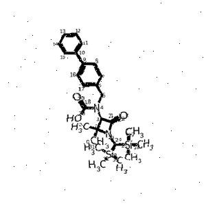 CC1(C)[C@@H](N(Cc2ccc(-c3ccccc3)cc2)C(=O)O)C(=O)N1C([Si](C)(C)C)[Si](C)(C)C